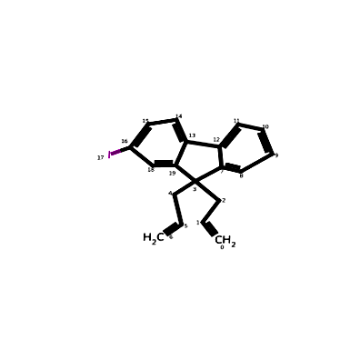 C=CCC1(CC=C)c2ccccc2-c2ccc(I)cc21